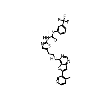 Cc1ccncc1-c1cc2ncnc(NCCc3cnc(NC(=O)Nc4cccc(C(F)(F)F)c4)s3)c2s1